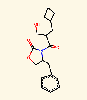 O=C1OCC(Cc2ccccc2)N1C(=O)C(CO)CC1CCC1